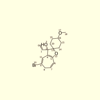 C=CC1(O)C2=C(C=CCC(Br)=C2)OC12CCC(OC)CC2